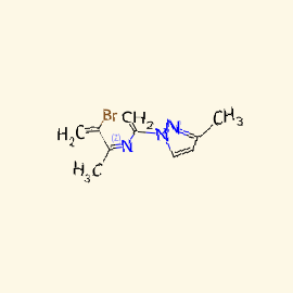 C=C(Br)/C(C)=N\C(=C)n1ccc(C)n1